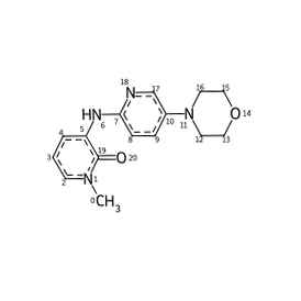 Cn1cccc(Nc2ccc(N3CCOCC3)cn2)c1=O